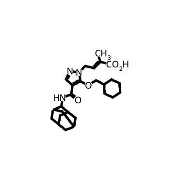 C/C(=C\Cn1ncc(C(=O)NC2C3CC4CC(C3)CC2C4)c1OCC1CCCCC1)C(=O)O